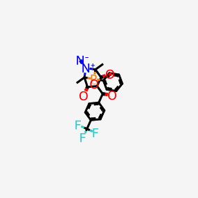 CC12C(=O)C(C(=O)c3ccc(C(F)(F)F)cc3)C(=O)C(C)([N+]1=[N-])P2(=O)c1ccccc1